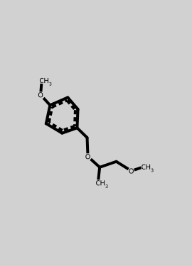 COCC(C)OCc1ccc(OC)cc1